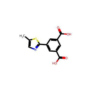 Cc1cnc(-c2cc(C(=O)O)cc(C(=O)O)c2)s1